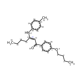 CCCCOc1ccc(C(=O)/C=C(\CCCC)Nc2ccc(C)cc2)cc1